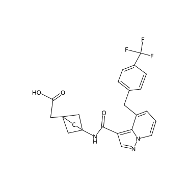 O=C(O)CC12CC(NC(=O)c3cnn4cccc(Cc5ccc(C(F)(F)F)cc5)c34)(C1)C2